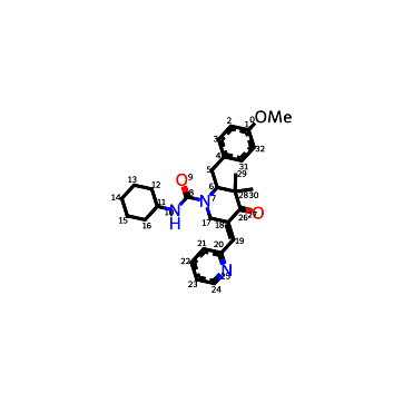 COc1ccc(CC2N(C(=O)NC3CCCCC3)CC(=Cc3ccccn3)C(=O)C2(C)C)cc1